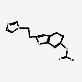 O=C(O)OC1=Cc2sc(CCn3ccnc3)cc2CC1